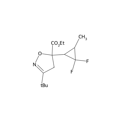 CCOC(=O)C1(C2C(C)C2(F)F)CC(C(C)(C)C)=NO1